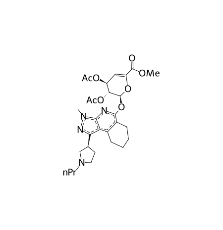 CCCN1CC[C@H](c2nn(C)c3nc(O[C@@H]4OC(C(=O)OC)=C[C@H](OC(C)=O)[C@H]4OC(C)=O)c4c(c23)CCCC4)C1